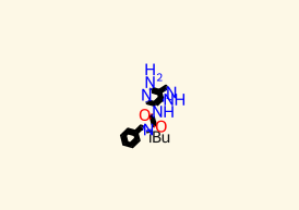 CCC(C)N(Cc1ccccc1)C(=O)C(=O)Nc1cnc(N)c2cn[nH]c12